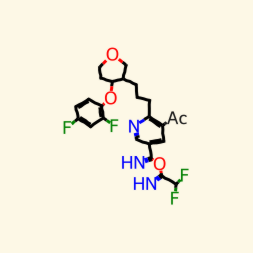 CC(=O)c1cc(C(=N)OC(=N)C(F)F)cnc1CCCC1COCCC1Oc1ccc(F)cc1F